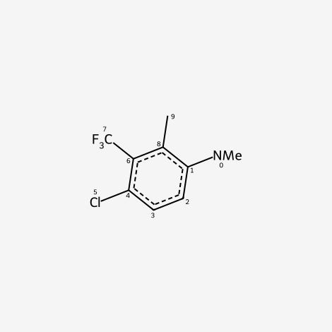 CNc1ccc(Cl)c(C(F)(F)F)c1C